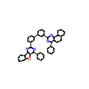 c1ccc(-c2nc(-c3cccc(-c4cccc(-c5nc(-c6ccccc6)c6oc7ccccc7c6n5)c4)c3)nc3c2ccc2ccccc23)cc1